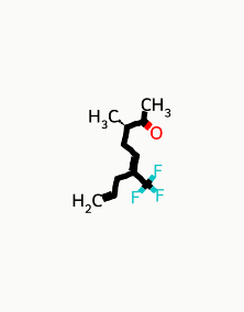 C=CC/C(=C\C[C@H](C)C(C)=O)C(F)(F)F